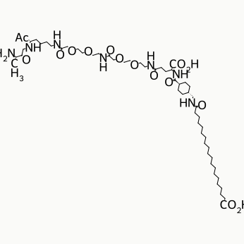 CC(=O)[C@H](CCCCNC(=O)COCCOCCNC(=O)COCCOCCNC(=O)CC[C@H](NC(=O)[C@H]1CC[C@H](CNC(=O)CCCCCCCCCCCCCCCCCCC(=O)O)CC1)C(=O)O)NCC(=O)[C@H](C)N